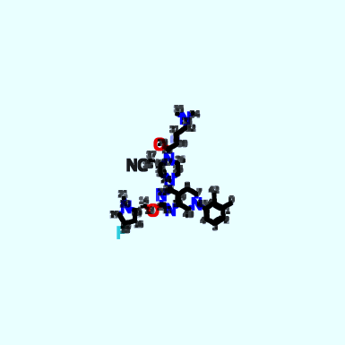 Cc1cccc(N2CCc3c(nc(OC[C@@H]4C[C@@H](F)CN4C)nc3N3CCN(C(=O)/C=C/CN(C)C)[C@@H](CC#N)C3)C2)c1C